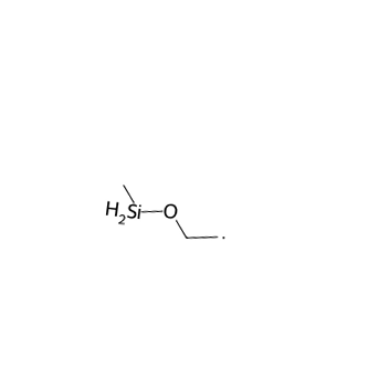 [CH2]CO[SiH2]C